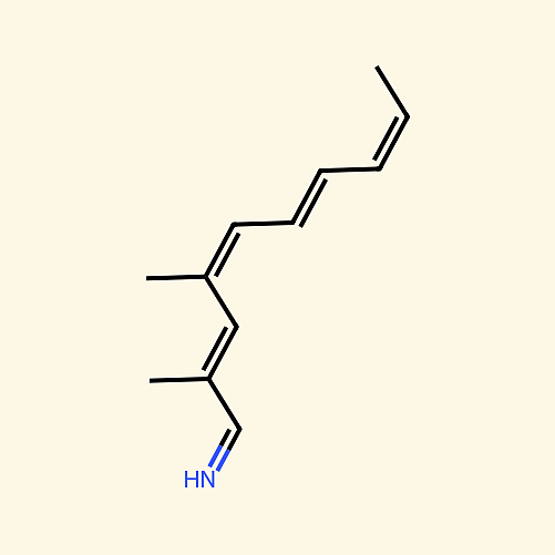 C\C=C/C=C/C=C(C)\C=C(/C)C=N